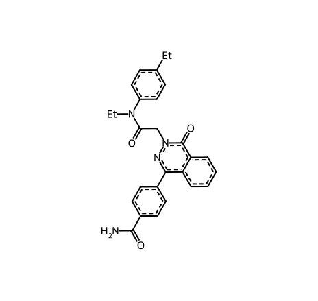 CCc1ccc(N(CC)C(=O)Cn2nc(-c3ccc(C(N)=O)cc3)c3ccccc3c2=O)cc1